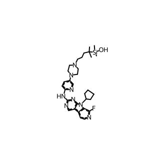 CC(C)(CCCN1CCN(c2ccc(Nc3ncc4c5ccnc(F)c5n(C5CCCC5)c4n3)nc2)CC1)[Si](C)(C)O